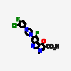 Cn1cc(C(=O)O)c(=O)c2c3cc(F)c(N4CCN(c5ccc(F)c(Cl)c5)CC4)cc3ncc21